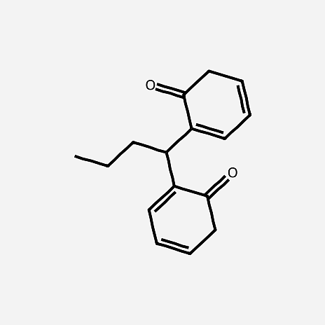 CCCC(C1=CC=CCC1=O)C1=CC=CCC1=O